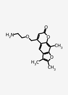 Cc1oc2c(C)c3oc(=O)cc(COCCN)c3cc2c1C